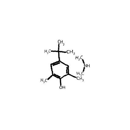 CNC.Cc1cc(C(C)(C)C)cc(C)c1O